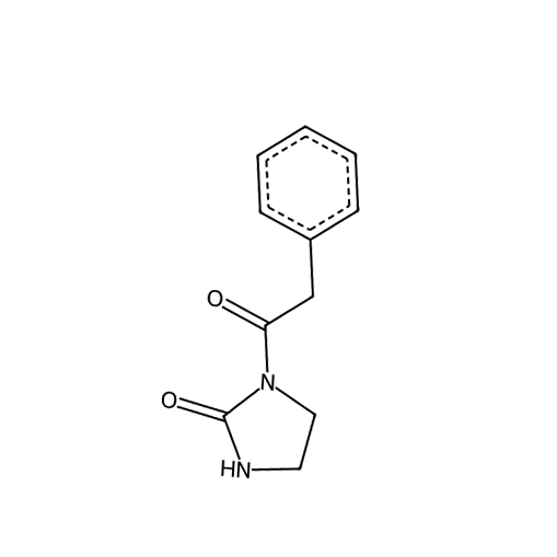 O=C(Cc1ccccc1)N1CCNC1=O